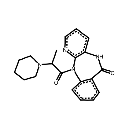 CC(C(=O)N1c2ccccc2C(=O)Nc2cccnc21)N1CCCCC1